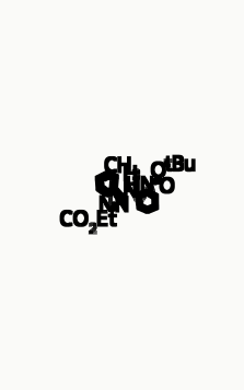 CCOC(=O)c1nc(N[C@H]2CCCC[C@H]2NC(=O)OC(C)(C)C)c2cc(C)ccc2n1